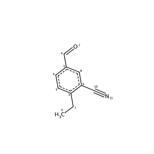 CCc1ccc(C=O)cc1C#N